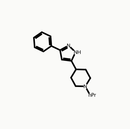 [CH2]CCN1CCC(c2cc(-c3ccccc3)n[nH]2)CC1